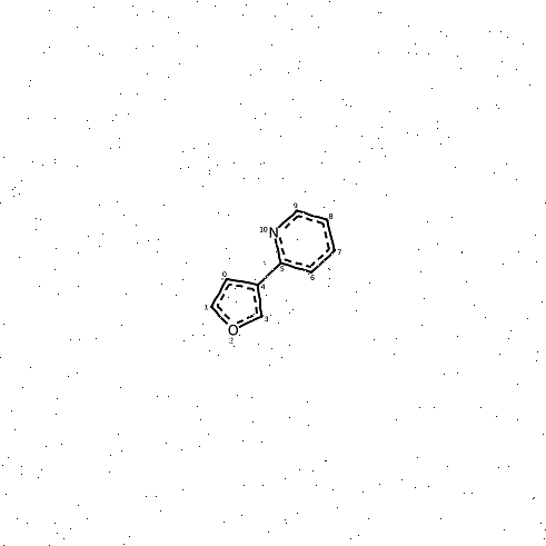 [c]1cocc1-c1ccccn1